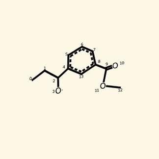 CCC([O])c1cccc(C(=O)OC)c1